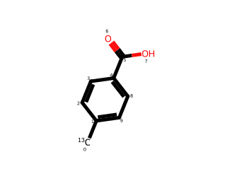 [13CH3]c1ccc(C(=O)O)cc1